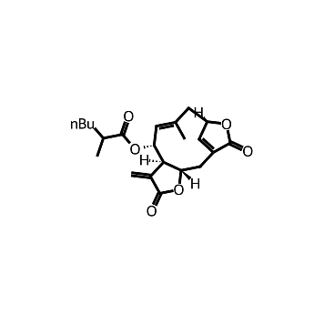 C=C1C(=O)O[C@H]2CC3=C[C@@H](C/C(C)=C/[C@@H](OC(=O)C(C)CCCC)[C@H]12)OC3=O